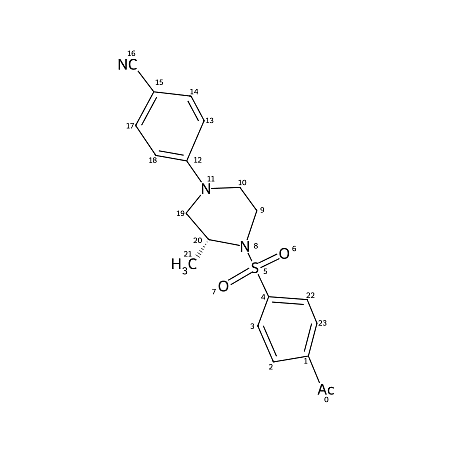 CC(=O)c1ccc(S(=O)(=O)N2CCN(c3ccc(C#N)cc3)C[C@H]2C)cc1